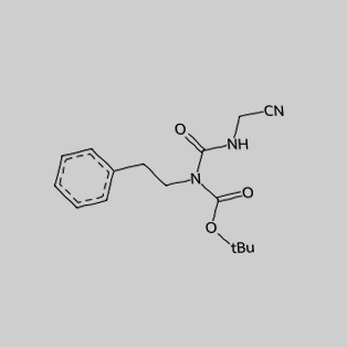 CC(C)(C)OC(=O)N(CCc1ccccc1)C(=O)NCC#N